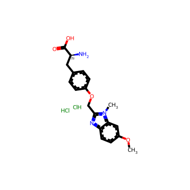 COc1ccc2nc(COc3ccc(C[C@H](N)C(=O)O)cc3)n(C)c2c1.Cl.Cl